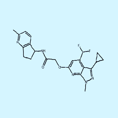 Cc1ccc2c(n1)CCC2NC(=O)COc1cc(C(F)F)c2c(C3CC3)nn(C)c2n1